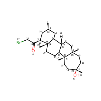 C[C@H]1CC2[C@@H]3CC[C@]4(C)CC[C@](C)(O)CC[C@]4(C)C3CC[C@]2(C)[C@@H](C(=O)CBr)C1